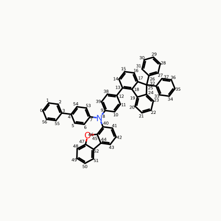 c1ccc(-c2ccc(N(c3ccc(-c4cccc5c4-c4ccccc4C5(c4ccccc4)c4ccccc4)cc3)c3cccc4c3oc3ccccc34)cc2)cc1